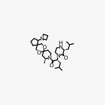 CC(C)C[C@@H]1NCCN([C@@H](CC(C)C)C(=O)N2CCC3(C[C@@H]2C)OCC2(CCCC2N2CCC2)CO3)C1=O